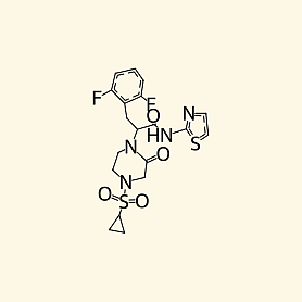 O=C(Nc1nccs1)C(Cc1c(F)cccc1F)N1CCN(S(=O)(=O)C2CC2)CC1=O